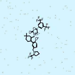 COc1ccc(CN2CCCC2C(F)(F)F)cc1C1=C(CN2C(=O)O[C@H](c3cc(C(F)(F)F)cc(C(F)(F)F)c3)[C@@H]2C)CC(C)(C)CC1